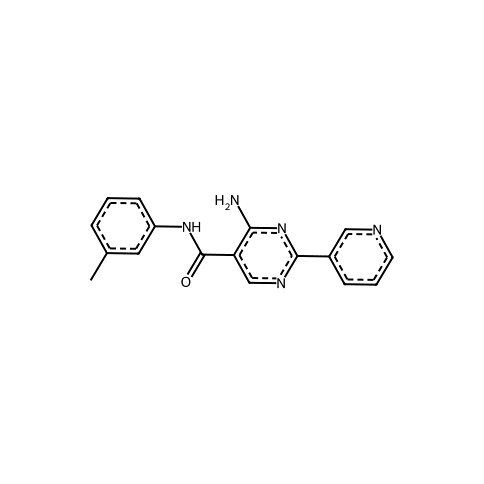 Cc1cccc(NC(=O)c2cnc(-c3cccnc3)nc2N)c1